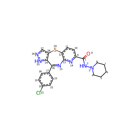 O=C(NN1CCCCC1)c1ccc2c(n1)N=C(c1ccc(Cl)cc1)c1[nH]ncc1S2